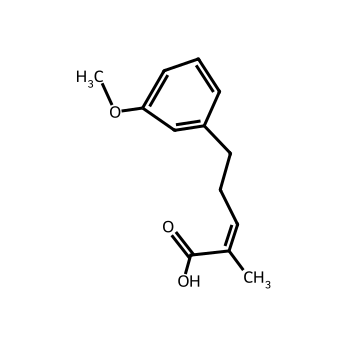 COc1cccc(CCC=C(C)C(=O)O)c1